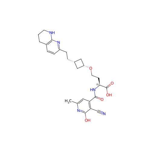 Cc1cc(C(=O)N[C@@H](CCO[C@H]2C[C@@H](CCc3ccc4c(n3)NCCC4)C2)C(=O)O)c(C#N)c(O)n1